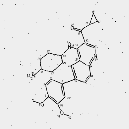 COc1ccc(-c2ccc3ncc(C(=O)C4CC4)c(NC4CCC(N)CC4)c3c2)cc1OC